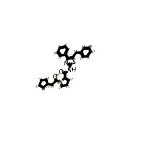 O=C(Nc1nc(-c2ccccc2)c(Cc2ccccc2)s1)C1CCCN1C(=O)CC1CCCC1